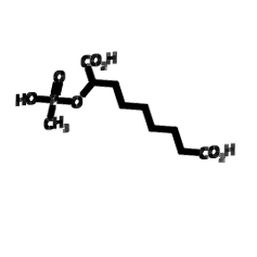 CP(=O)(O)OC(CCCCCCC(=O)O)C(=O)O